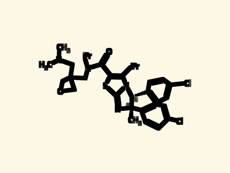 CC(C)C1=C(C(=O)N(CC2(CN(C)C)COC2)C(C)C)SC2=N[C@@](C)(c3ccc(Cl)cc3)[C@@H](c3ccc(Cl)cc3)N21